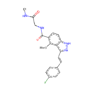 CCNC(=O)CNC(=O)c1ccc2[nH]nc(C=Cc3ccc(F)cc3)c2c1OC